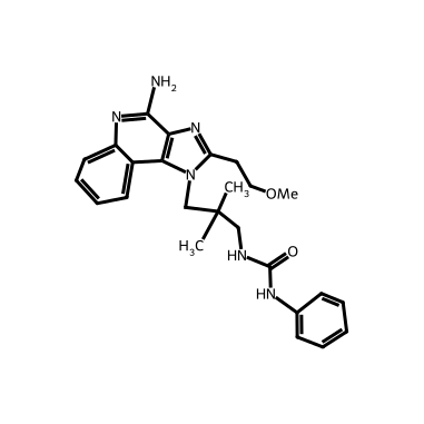 COCCc1nc2c(N)nc3ccccc3c2n1CC(C)(C)CNC(=O)Nc1ccccc1